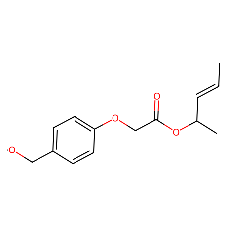 CC=CC(C)OC(=O)COc1ccc(C[O])cc1